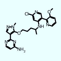 COc1cccnc1-c1cnc(Cl)cc1NC(C)CCCOc1c(-c2nccc(N)n2)cnn1C